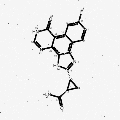 NC(=O)[C@@H]1C[C@H]1c1nc2c3ccc(F)cc3c3c(=O)[nH]cnc3c2[nH]1